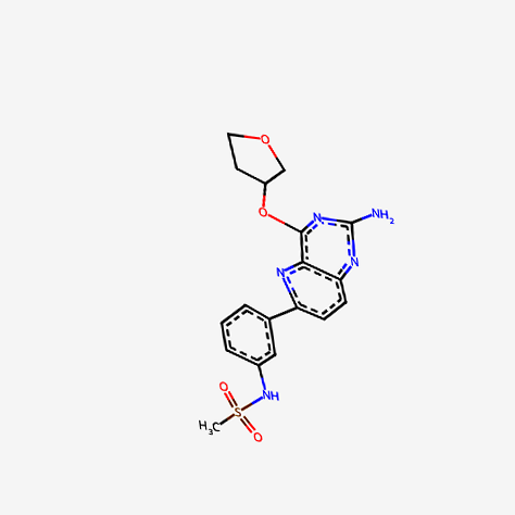 CS(=O)(=O)Nc1cccc(-c2ccc3nc(N)nc(OC4CCOC4)c3n2)c1